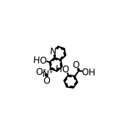 O=C(O)c1ccccc1O.O=[N+]([O-])c1ccc2cccnc2c1O